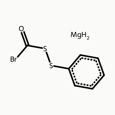 O=C(Br)SSc1ccccc1.[MgH2]